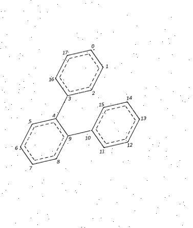 [c]1ccc(-c2c[c]ccc2-c2ccccc2)cc1